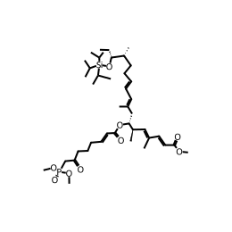 CC[C@@H](O[Si](C(C)C)(C(C)C)C(C)C)[C@H](C)CC/C=C/C=C(\C)C[C@@H](OC(=O)/C=C/CCCC(=O)CP(=O)(OC)OC)[C@H](C)/C=C(C)/C=C/C(=O)OC